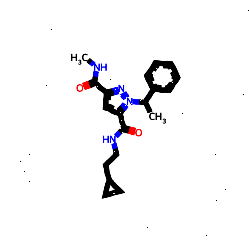 CNC(=O)c1cc(C(=O)NCCC2CC2)n(C(C)c2ccccc2)n1